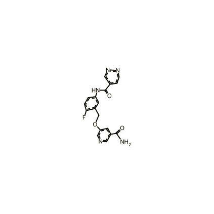 NC(=O)c1cncc(OCc2cc(NC(=O)c3ccnnc3)ccc2F)c1